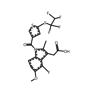 COc1ccc2c(c1F)c(CC(=O)O)c(C)n2C(=O)c1csc(SC(F)(F)C(F)F)c1